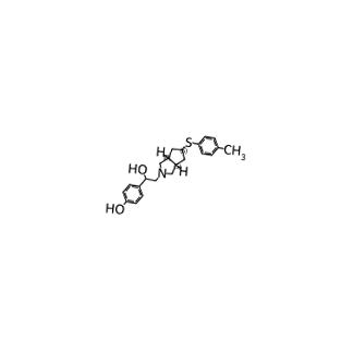 Cc1ccc(S[C@H]2C[C@@H]3CN(CC(O)c4ccc(O)cc4)C[C@@H]3C2)cc1